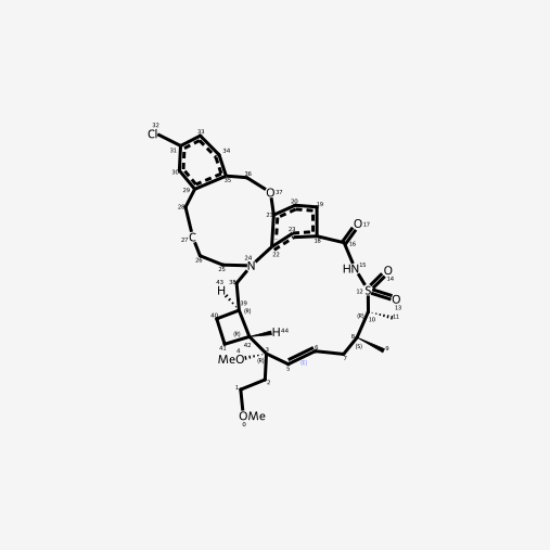 COCC[C@]1(OC)/C=C/C[C@H](C)[C@@H](C)S(=O)(=O)NC(=O)c2ccc3c(c2)N(CCCCc2cc(Cl)ccc2CO3)C[C@@H]2CC[C@H]21